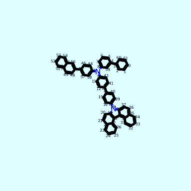 c1ccc(-c2cccc(N(c3ccc(-c4ccc(-n5c6ccc7ccccc7c6c6c7ccccc7ccc65)cc4)cc3)c3ccc(-c4ccc5ccccc5c4)cc3)c2)cc1